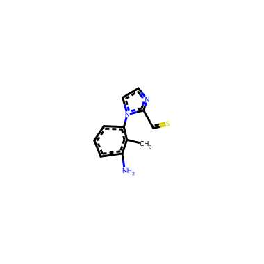 Cc1c(N)cccc1-n1ccnc1C=S